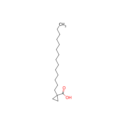 CCCCCCCCCCCCCCC1(C(=O)O)CC1